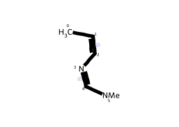 C/C=C\N=C/NC